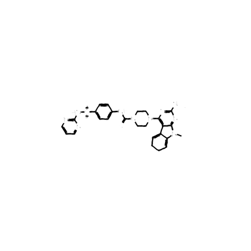 Cn1c2c(c3c(N4CCN(C(=S)Nc5ccc(S(=O)(=O)Nc6ncccn6)cc5)CC4)nc(N)nc31)=CCCC=2